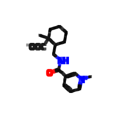 C[n+]1cccc(C(=O)NCC2CCCCC2(C)C(=O)[O-])c1